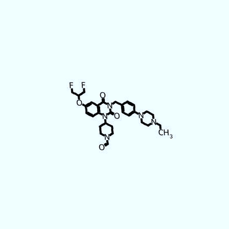 CCN1CCN(c2ccc(Cn3c(=O)c4cc(OC(CF)CF)ccc4n(C4CCN(C=O)CC4)c3=O)cc2)CC1